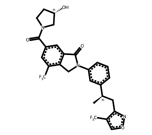 C[C@H](Cc1nocc1C(F)(F)F)c1cccc(N2Cc3c(cc(C(=O)N4CC[C@H](O)C4)cc3C(F)(F)F)C2=O)c1